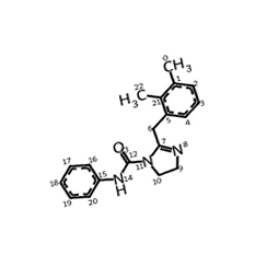 Cc1cccc(CC2=NCCN2C(=O)Nc2ccccc2)c1C